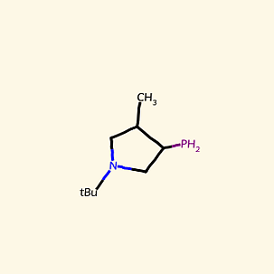 CC1CN(C(C)(C)C)CC1P